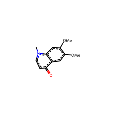 COc1cc2c(=O)ccn(C)c2cc1OC